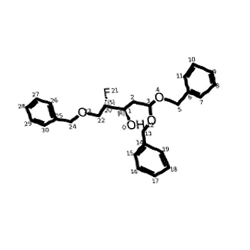 O[C@H](CC(OCc1ccccc1)OCc1ccccc1)[C@@H](F)COCc1ccccc1